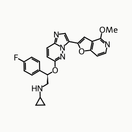 COc1nccc2oc(-c3cnc4ccc(O[C@@H](CNC5CC5)c5ccc(F)cc5)nn34)cc12